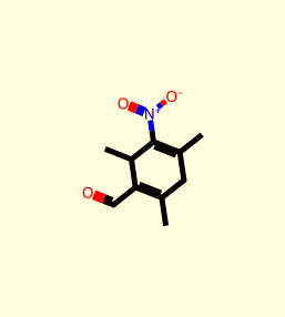 CC1=C(C=O)C(C)C([N+](=O)[O-])=C(C)C1